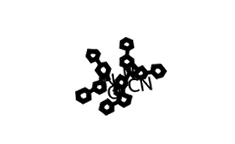 N#Cc1c(-n2c3ccc(-c4ccccc4)cc3c3cc(-c4ccccc4)ccc32)cc(-n2c3ccc(-c4ccccc4)cc3c3cc(-c4ccccc4)ccc32)c2oc3c(-c4ccccc4)cccc3c12